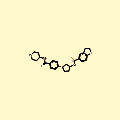 C[C@@H](NC1CC[C@H](c2ccc(C(=O)NC3CCNCC3)cc2)C1)c1ccc2c(c1)CCO2